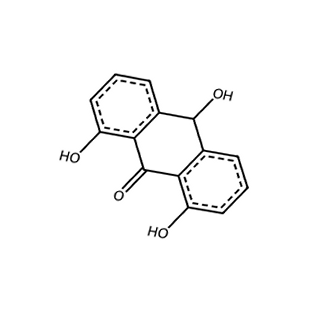 O=C1c2c(O)cccc2C(O)c2cccc(O)c21